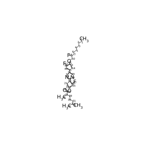 CCCCCCCCC(F)COc1ccc(-c2cnc(-c3ccc(OC(=O)C(C)CCCC(C)C)cc3F)nc2)cc1F